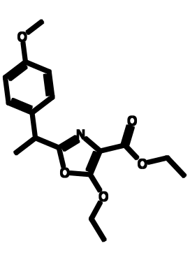 CCOC(=O)c1nc(C(C)c2ccc(OC)cc2)oc1OCC